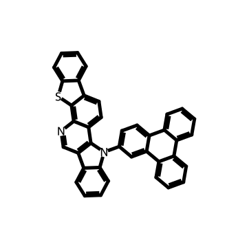 c1ccc2c(c1)sc1c2ccc2c1ncc1c3ccccc3n(-c3ccc4c5ccccc5c5ccccc5c4c3)c12